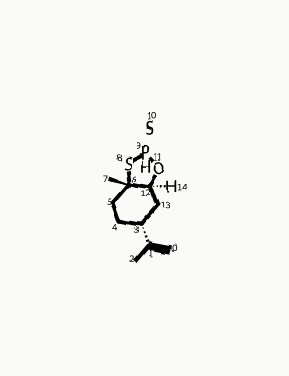 C=C(C)[C@@H]1CC[C@]2(C)S[PH](=S)O[C@H]2C1